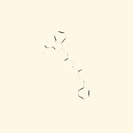 NC(=O)c1nn(CC(=O)NCC(=O)NCc2cccc(Cl)c2F)c2ccccc12